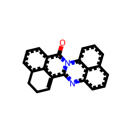 O=c1c2cccc3c2c(c2nc4cccc5cccc(c54)n12)=CCC3